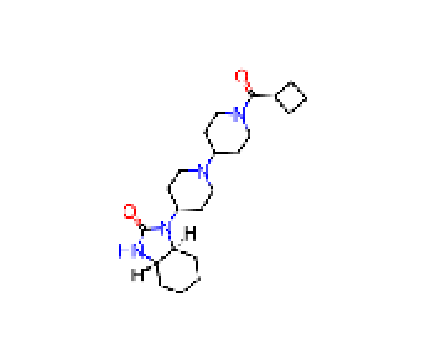 O=C(C1CCC1)N1CCC(N2CCC(N3C(=O)N[C@H]4CCCC[C@@H]43)CC2)CC1